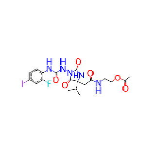 CC(=O)OCCNC(=O)CC1(C(C)C)NC(=O)N(NC(=O)Nc2ccc(I)cc2F)C1=O